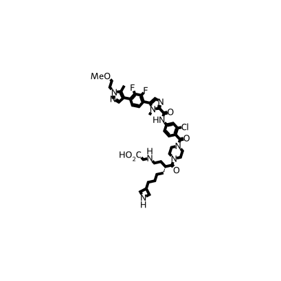 COCCn1ncc(-c2ccc(-c3cnc(C(=O)Nc4ccc(C(=O)N5CCN(C(=O)[C@H](CCCCC6CNC6)CCNCC(=O)O)CC5)c(Cl)c4)n3C)c(F)c2F)c1C